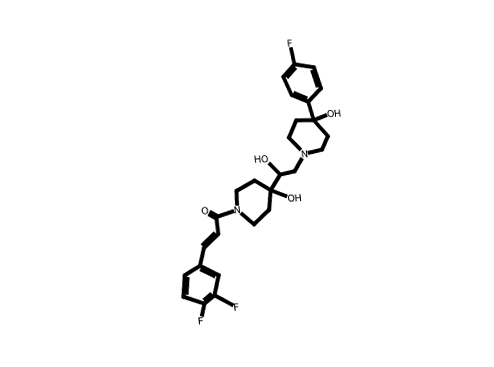 O=C(C=Cc1ccc(F)c(F)c1)N1CCC(O)(C(O)CN2CCC(O)(c3ccc(F)cc3)CC2)CC1